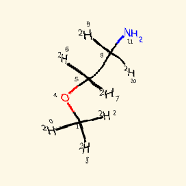 [2H]C([2H])([2H])OC([2H])([2H])C([2H])([2H])N